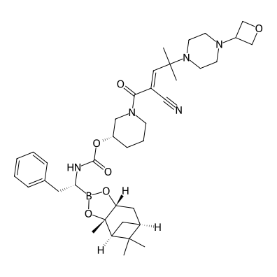 CC1(C)[C@@H]2C[C@H]3OB([C@H](Cc4ccccc4)NC(=O)O[C@H]4CCCN(C(=O)C(C#N)=CC(C)(C)N5CCN(C6COC6)CC5)C4)O[C@@]3(C)[C@H]1C2